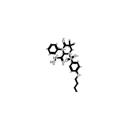 CCCCOc1ccc(S(=O)(=O)N2CC(C)(C)C(=O)N(c3ccccc3)C2C(=O)NO)cc1